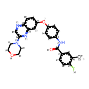 O=C(Nc1ccc(Oc2ccc3ncc(N4CCOCC4)nc3c2)cc1)c1ccc(F)c(C(F)(F)F)c1